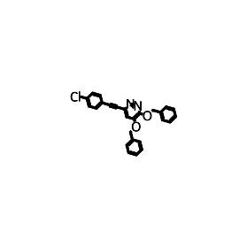 Clc1ccc(C#Cc2cc(OCc3ccccc3)c(OCc3ccccc3)nn2)cc1